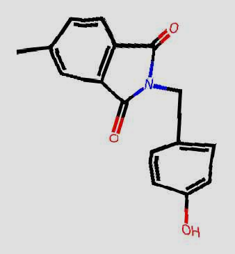 Cc1ccc2c(c1)C(=O)N(Cc1ccc(O)cc1)C2=O